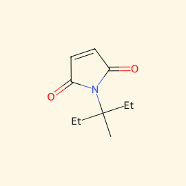 CCC(C)(CC)N1C(=O)C=CC1=O